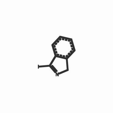 IC1=NCc2ccccc21